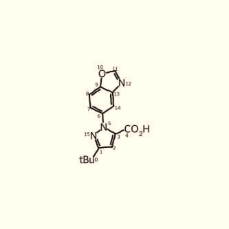 CC(C)(C)c1cc(C(=O)O)n(-c2ccc3ocnc3c2)n1